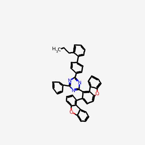 CCCc1ccccc1-c1ccc(-c2nc(-c3ccccc3)nc(-c3c(-c4cccc5oc6ccccc6c45)ccc4oc5ccccc5c34)n2)cc1